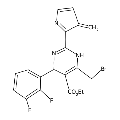 C=C1C=CN=C1C1=NC(c2cccc(F)c2F)C(C(=O)OCC)=C(CBr)N1